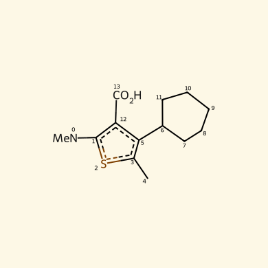 CNc1sc(C)c(C2CCCCC2)c1C(=O)O